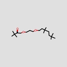 CC(C)(C)CCC(C)(C)CCOCCCOCC(=O)C(C)(C)C